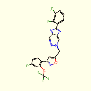 Fc1ccc(-c2cc(Cn3cc4nc(-c5cccc(F)c5F)nc-4cn3)on2)c(OC(F)(F)F)c1